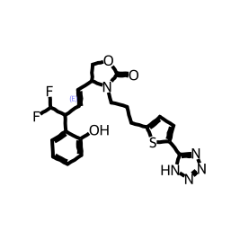 O=C1OCC(/C=C/C(c2ccccc2O)C(F)F)N1CCCc1ccc(-c2nnn[nH]2)s1